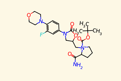 CC(C)(C)OC(=O)[N+]1(CC2CN(c3ccc(N4CCOCC4)c(F)c3)C(=O)O2)CCCC1C(N)=O